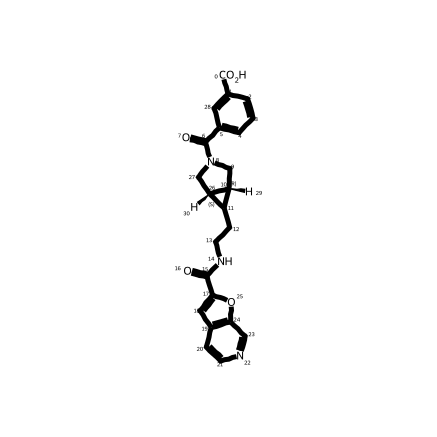 O=C(O)c1cccc(C(=O)N2C[C@@H]3C(CCNC(=O)c4cc5ccncc5o4)[C@@H]3C2)c1